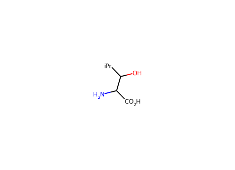 CC(C)C(O)C(N)C(=O)O